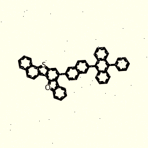 c1ccc(-c2c3ccccc3c(-c3ccc4cc(-c5cc6sc7c8ccccc8ccc7c6c6oc7ccccc7c56)ccc4c3)c3ccccc23)cc1